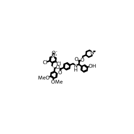 COc1ccc([C@H](Cc2c(Cl)c[n+]([O-])cc2Cl)OC(=O)c2ccc(CNC(C(=O)OCC3CCN(C)CC3)c3cccc(O)c3)cc2)cc1OC